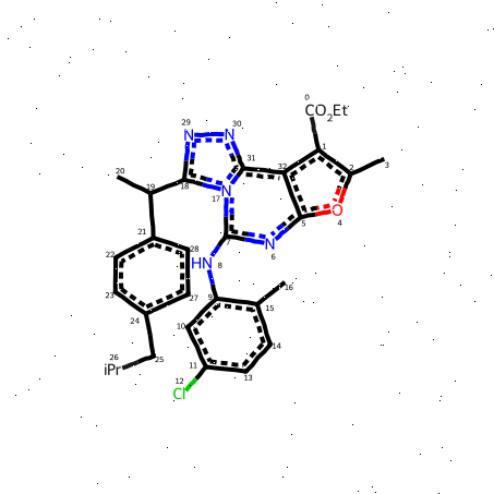 CCOC(=O)c1c(C)oc2nc(Nc3cc(Cl)ccc3C)n3c(C(C)c4ccc(CC(C)C)cc4)nnc3c12